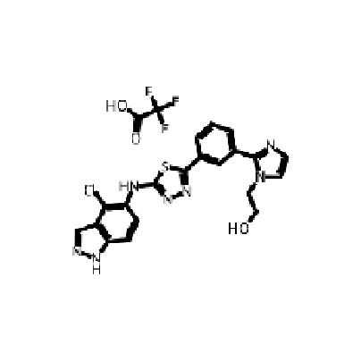 O=C(O)C(F)(F)F.OCCn1ccnc1-c1cccc(-c2nnc(Nc3ccc4[nH]ncc4c3Cl)s2)c1